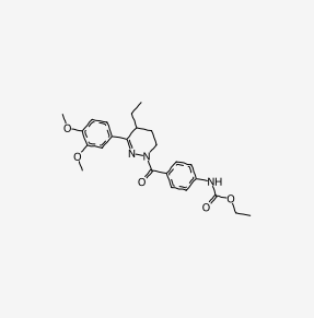 CCOC(=O)Nc1ccc(C(=O)N2CCC(CC)C(c3ccc(OC)c(OC)c3)=N2)cc1